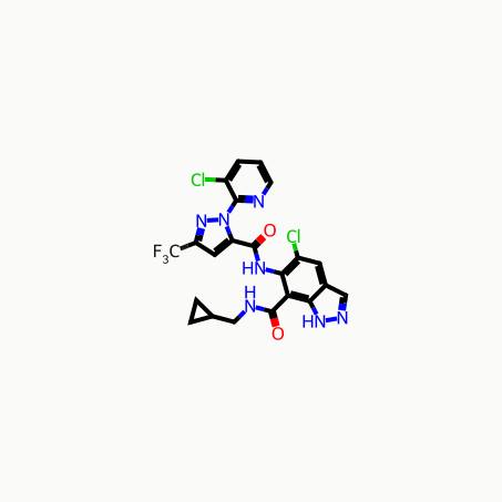 O=C(NCC1CC1)c1c(NC(=O)c2cc(C(F)(F)F)nn2-c2ncccc2Cl)c(Cl)cc2cn[nH]c12